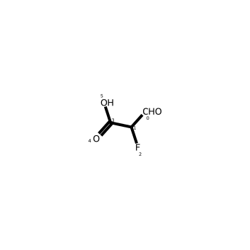 O=CC(F)C(=O)O